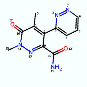 Cc1c(-c2cccnn2)c(C(N)=O)nn(C)c1=O